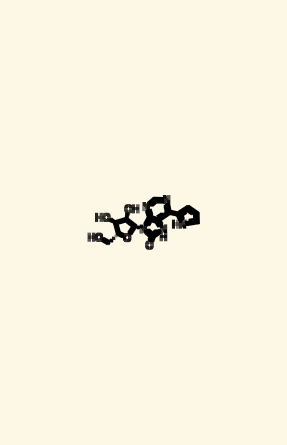 O=c1[nH]c2c(-c3ccc[nH]3)ncnc2n1[C@@H]1O[C@H](CO)[C@@H](O)[C@H]1O